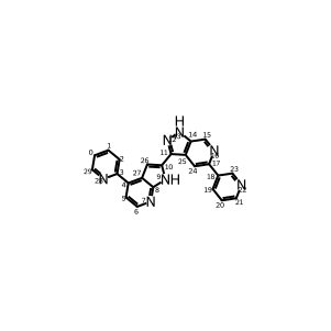 c1ccc(-c2ccnc3[nH]c(-c4n[nH]c5cnc(-c6cccnc6)cc45)cc23)nc1